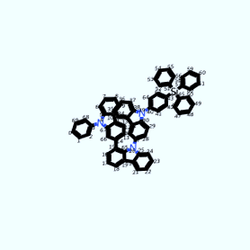 c1ccc(-n2c3ccccc3c3ccc(-c4cccc5c6ccccc6n(-c6ccc7c(c6)c6ccccc6n7-c6ccc([Si](c7ccccc7)(c7ccccc7)c7ccccc7)cc6)c45)cc32)cc1